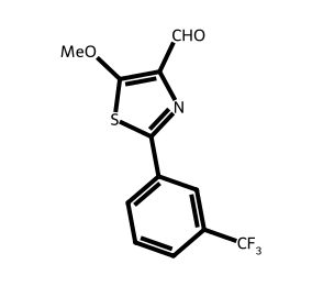 COc1sc(-c2cccc(C(F)(F)F)c2)nc1C=O